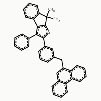 CC1(C)c2ccccc2-c2c1sc(-c1cccc(Cc3cc4ccccc4c4ccccc34)c1)c2-c1ccccc1